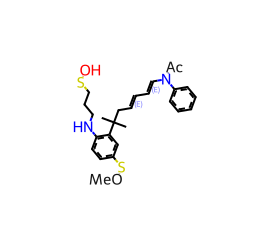 COSc1ccc(NCCCSO)c(C(C)(C)C/C=C/C=C/N(C(C)=O)c2ccccc2)c1